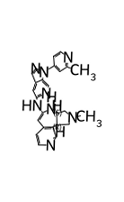 Cc1cc(-n2ncc3cc(NC4=Cc5ccncc5[C@@H]5CN(C)C[C@H]5N4)ncc32)ccn1